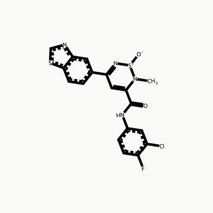 CN1C(C(=O)Nc2ccc(F)c(Cl)c2)=CC(c2ccc3scnc3c2)=N[S+]1[O-]